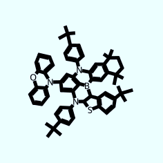 CC(C)(C)c1ccc(N2c3cc4c(cc3B3c5c2cc(N2c6ccccc6Oc6ccccc62)cc5N(c2ccc(C(C)(C)C)cc2)C2Sc5ccc(C(C)(C)C)cc5C32)C(C)(C)CCC4(C)C)cc1